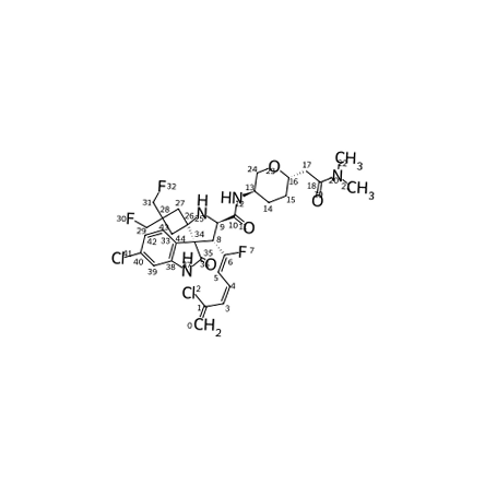 C=C(Cl)/C=C\C=C(/F)[C@H]1[C@H](C(=O)N[C@@H]2CC[C@@H](CC(=O)N(C)C)OC2)NC2(CC(CF)(CF)C2)[C@@]12C(=O)Nc1cc(Cl)ccc12